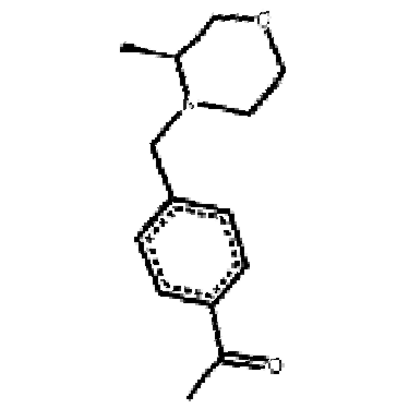 CC(=O)c1ccc(CN2CCOC[C@@H]2C)cc1